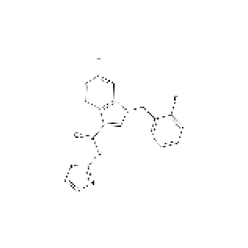 O=C(Nc1nccs1)c1cn(Cc2ccccc2F)c2cc(F)ccc12